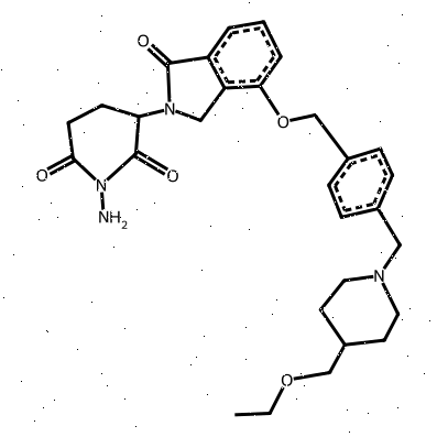 CCOCC1CCN(Cc2ccc(COc3cccc4c3CN(C3CCC(=O)N(N)C3=O)C4=O)cc2)CC1